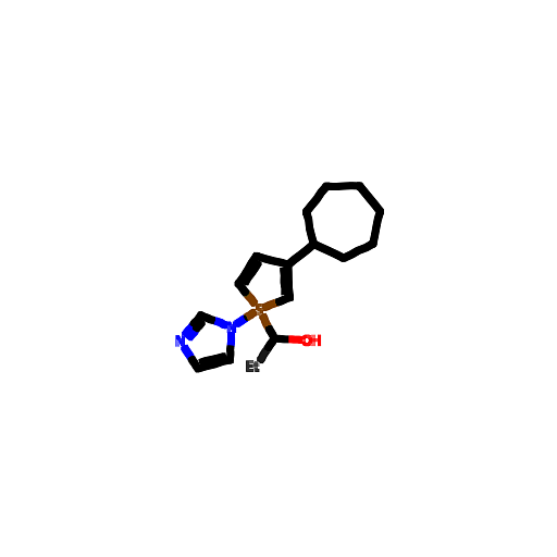 CCC(O)S1(n2ccnc2)C=CC(C2CCCCCC2)=C1